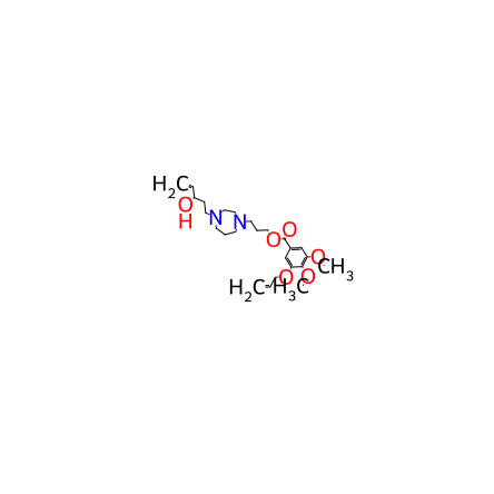 C=CCOc1cc(C(=O)OCCCN2CCCN(CC[C@H](O)C=C)CC2)cc(OC)c1OC